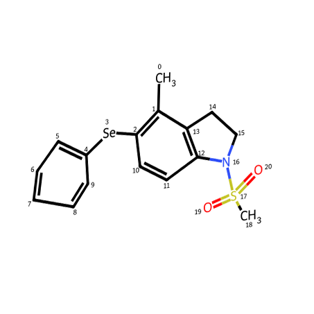 Cc1c([Se]c2ccccc2)ccc2c1CCN2S(C)(=O)=O